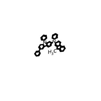 CC1C2=CCCC=C2C2CC=C(N(C3=CC=C4C5=CC(C6=CCCC=C6)=CCC5N(c5ccccc5)C4C3)C3C=CC=CC3)C=C12